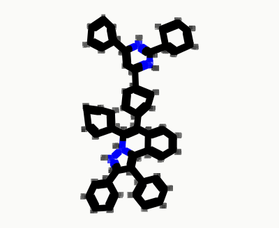 c1ccc(-c2cc(-c3ccc(-c4c(-c5ccccc5)n5nc(-c6ccccc6)c(-c6ccccc6)c5c5ccccc45)cc3)nc(-c3ccccc3)n2)cc1